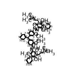 COc1cc(C(c2ccccc2)c2ccc(/N=N/c3c(C)c(-[n+]4ccccc4)c(O)n(CCCN(C)C)c3=O)c(OC)c2)ccc1/N=N/c1c(C)c(-[n+]2ccccc2)c(O)n(CCCN(C)C)c1=O